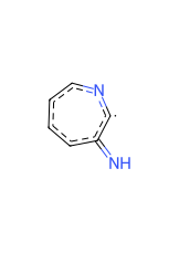 N=c1[c]ncccc1